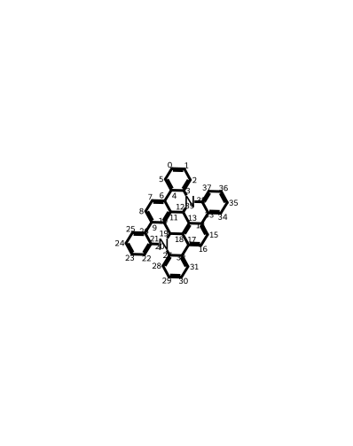 c1ccc2c(c1)-c1ccc3c4c1C1c5c(ccc6c5C4N(c4ccccc4-3)c3ccccc3-6)-c3ccccc3N21